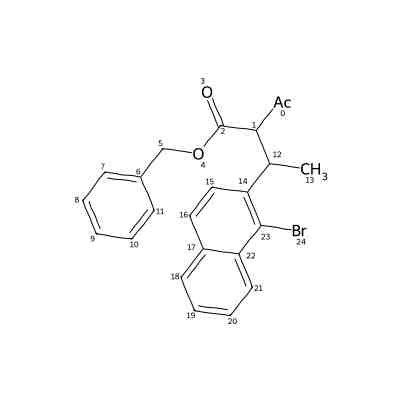 CC(=O)C(C(=O)OCc1ccccc1)C(C)c1ccc2ccccc2c1Br